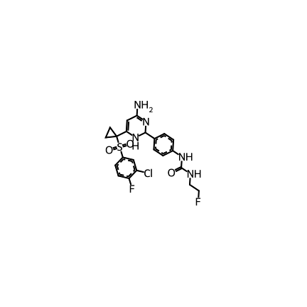 NC1=NC(c2ccc(NC(=O)NCCF)cc2)NC(C2(S(=O)(=O)c3ccc(F)c(Cl)c3)CC2)=C1